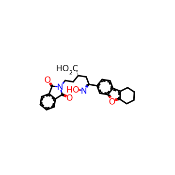 O=C(O)[C@@H](CCN1C(=O)c2ccccc2C1=O)CC(=NO)c1ccc2c3c(oc2c1)CCCC3